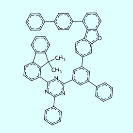 CC1(C)c2ccccc2-c2cccc(-c3nc(-c4ccccc4)nc(-c4cc(-c5ccccc5)cc(-c5ccc6c(c5)oc5cccc(-c7ccc(-c8ccccc8)cc7)c56)c4)n3)c21